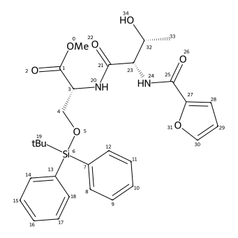 COC(=O)[C@@H](CO[Si](c1ccccc1)(c1ccccc1)C(C)(C)C)NC(=O)[C@@H](NC(=O)c1ccco1)[C@@H](C)O